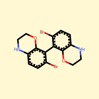 Brc1ccc2c(c1-c1c(Br)ccc3c1OCCN3)OCCN2